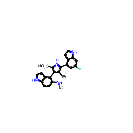 CCNc1ccc2[nH]ccc2c1-c1c(C(=O)O)[nH]c(-c2cc(F)cc3[nH]ccc23)c1C(C)C